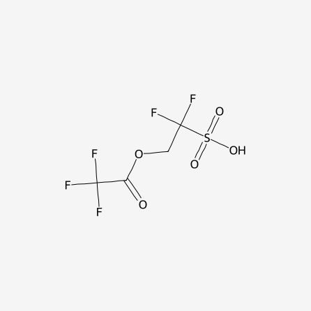 O=C(OCC(F)(F)S(=O)(=O)O)C(F)(F)F